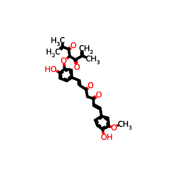 C=C(C)C(=O)C(Oc1cc(C=CC(=O)CC(=O)C=Cc2ccc(O)c(OC)c2)ccc1O)C(=O)C(=C)C